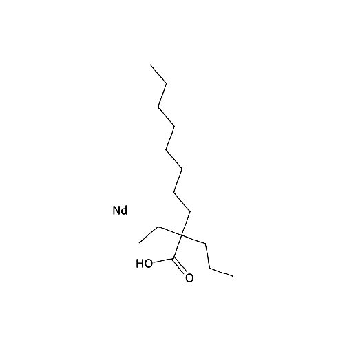 CCCCCCCCC(CC)(CCC)C(=O)O.[Nd]